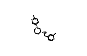 Cc1ccc(N2CCC[C@H](NCc3ccnc(C)c3)C2)cn1